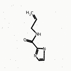 C=CCNC(=O)C1=NC=C[N]1